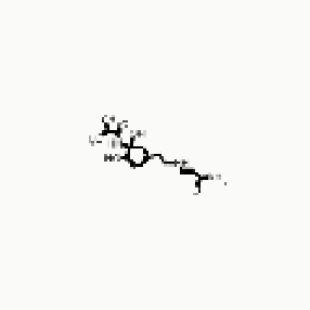 C=C(C)C(=O)NC1(O)CC(CCNC=CC(N)=O)=CC=C1O